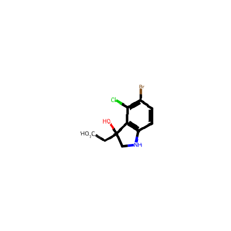 O=C(O)CC1(O)CNc2ccc(Br)c(Cl)c21